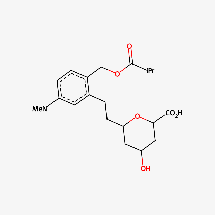 CNc1ccc(COC(=O)C(C)C)c(CCC2CC(O)CC(C(=O)O)O2)c1